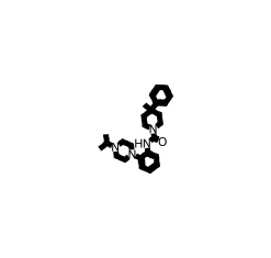 CC(C)N1CCN(c2ccccc2NC(=O)N2CCC(C)(c3ccccc3)CC2)CC1